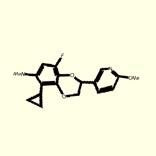 CNc1cc(F)c2c(c1C1CC1)OCC(c1ccc(OC)nc1)O2